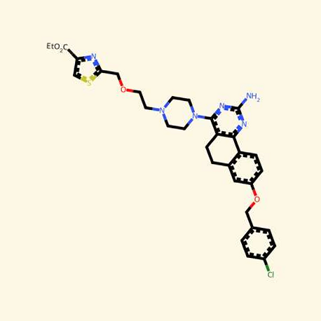 CCOC(=O)c1csc(COCCN2CCN(c3nc(N)nc4c3CCc3cc(OCc5ccc(Cl)cc5)ccc3-4)CC2)n1